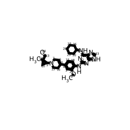 COc1cc(C2=CCN(C3CC3(C)C=O)CC2)ccc1Nc1nc(NC2CCCCC2)c2nc[nH]c2n1